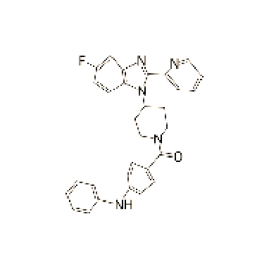 O=C(c1ccc(Nc2ccccc2)cc1)N1CCC(n2c(-c3ccccn3)nc3cc(F)ccc32)CC1